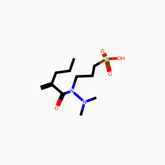 C=C(CCC)C(=O)N(CCCS(=O)(=O)O)N(C)C